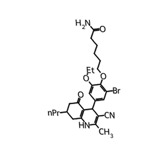 CCCC1CC(=O)C2=C(C1)NC(C)=C(C#N)C2c1cc(Br)c(OCCCCCC(N)=O)c(OCC)c1